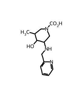 CC1CN(C(=O)O)CC(NCc2ccccn2)C1O